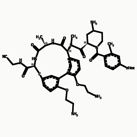 CCCCCCc1ccc(C(=O)N2CCC(N)C[C@H]2C(=O)N(C)[C@@H]2C(=O)N[C@@H](C)C(=O)N[C@H](C(=O)NCC#N)Cc3ccc(OCCN)c(c3)-c3cc2ccc3OCCN)c(C)c1